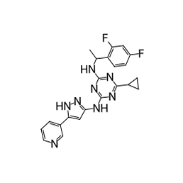 CC(Nc1nc(Nc2cc(-c3cccnc3)[nH]n2)nc(C2CC2)n1)c1ccc(F)cc1F